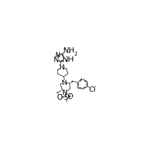 C[C@H]1CN(C2CCN(c3nnc(N)[nH]3)CC2)[C@@H](Cc2ccc(Cl)cc2)CN1S(C)(=O)=O